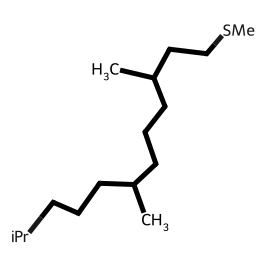 CSCCC(C)CCCC(C)CCCC(C)C